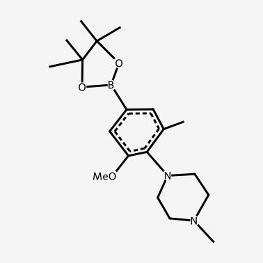 COc1cc(B2OC(C)(C)C(C)(C)O2)cc(C)c1N1CCN(C)CC1